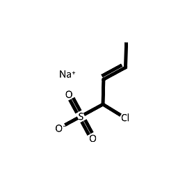 CC=CC(Cl)S(=O)(=O)[O-].[Na+]